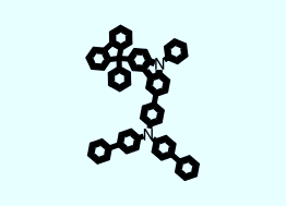 c1ccc(-c2ccc(N(c3ccc(-c4ccccc4)cc3)c3ccc(-c4ccc5c(c4)c4cc(C6(c7ccccc7)c7ccccc7-c7ccccc76)ccc4n5-c4ccccc4)cc3)cc2)cc1